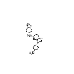 Nc1ccc(-c2cnc3ccc(N[C@H]4CC[C@H](N)CC4)nn23)cc1